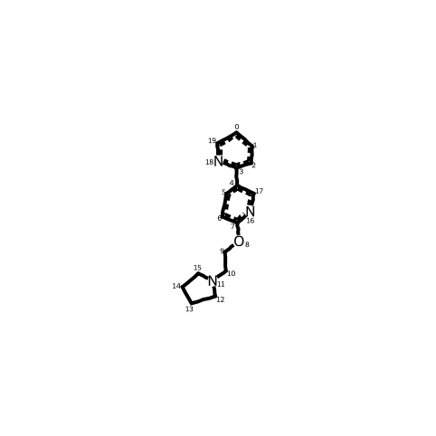 c1ccc(-c2ccc(OCCN3CCCC3)nc2)nc1